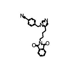 N#Cc1ccc(Cn2cncc2CCCCN2C(=O)c3ccccc3C2=O)cc1